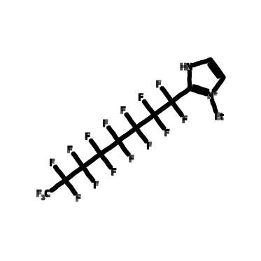 CC[n+]1cc[nH]c1C(F)(F)C(F)(F)C(F)(F)C(F)(F)C(F)(F)C(F)(F)C(F)(F)C(F)(F)F